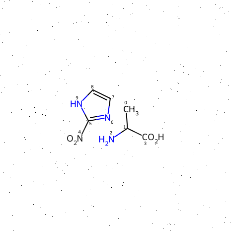 CC(N)C(=O)O.O=[N+]([O-])c1ncc[nH]1